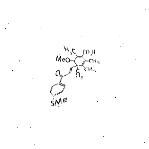 COC1C(C)=C(C(=O)O)C(C)=C(C)C1(C)C=CC(=O)c1ccc(SC)cc1